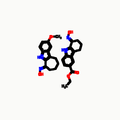 CCOC(=O)c1ccc2[nH]c3c(c2c1)CCCC3=NO.COc1ccc2[nH]c3c(c2c1)CCCCC3=NO